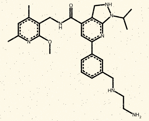 COc1nc(C)cc(C)c1CNC(=O)c1cc(-c2cccc(CNCCN)c2)nc2c1CNN2C(C)C